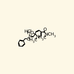 CN(C)C(=O)C1=CN(C)C(O)(C=NOCc2ccccc2)C=C1.Cl